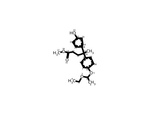 CCOC(C)Oc1ccc(C(C)(CCC(=O)OC)c2ccc(O)cc2)cc1